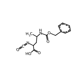 CC(CC(N=C=O)C(=O)O)NC(=O)OCc1ccccc1